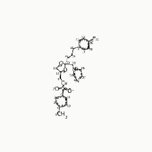 Cc1ccc(S(=O)(=O)OC[C@H]2CO[C@@](CCCc3ccc(F)cc3)(Cn3ccnc3)O2)cc1